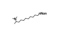 CCCCCCCCCCCCCCCCCCC(C)N(C)C